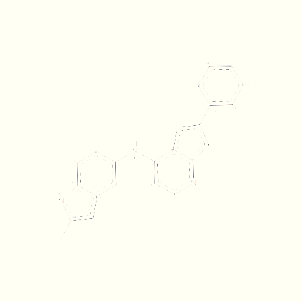 Cc1cc2cc(Nc3ccnc4cc(-c5ccccc5)sc34)ccc2[nH]1